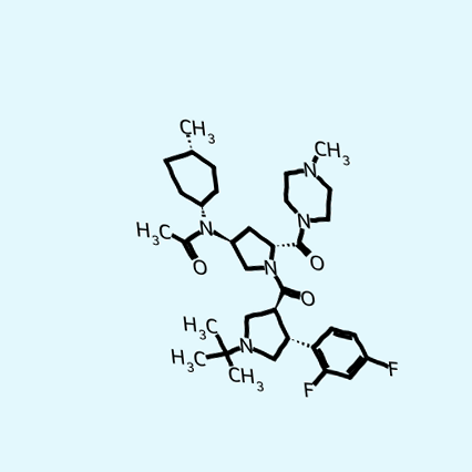 CC(=O)N([C@H]1C[C@H](C(=O)N2CCN(C)CC2)N(C(=O)[C@@H]2CN(C(C)(C)C)C[C@H]2c2ccc(F)cc2F)C1)[C@H]1CC[C@@H](C)CC1